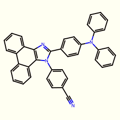 N#Cc1ccc(-n2c(-c3ccc(N(c4ccccc4)c4ccccc4)cc3)nc3c4ccccc4c4ccccc4c32)cc1